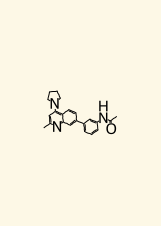 CC(=O)Nc1cccc(-c2ccc3c(N4CCCC4)cc(C)nc3c2)c1